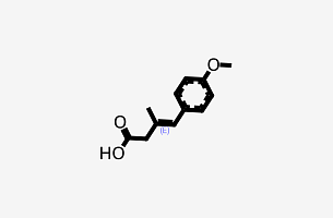 COc1ccc(/C=C(\C)CC(=O)O)cc1